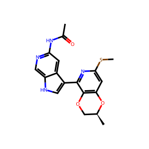 CSc1cc2c(c(-c3c[nH]c4cnc(NC(C)=O)cc34)n1)OC[C@H](C)O2